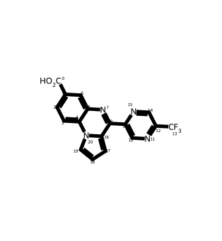 O=C(O)c1ccc2c(c1)nc(-c1cnc(C(F)(F)F)cn1)c1cccn12